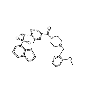 COc1cccnc1CN1CCN(C(=O)c2ccc(NS(=O)(=O)c3cccc4cccnc34)c(C)c2)CC1